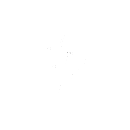 CCCC(CC)C(Cl)NC(=O)Cl